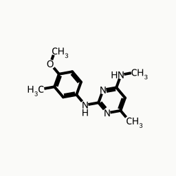 CNc1cc(C)nc(Nc2ccc(OC)c(C)c2)n1